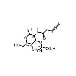 C[C@@H](O[C@H]1[C@H](O)[C@@H](CO)OC(O)[C@@H]1NC(=O)CN=[N+]=[N-])C(=O)O